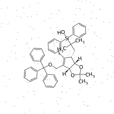 CC1(C)O[C@@H]2[C@H](O1)C(COC(c1ccccc1)(c1ccccc1)c1ccccc1)=C(I)[C@@H]2CC(C)(C)[Si](O)(c1ccccc1)c1ccccc1